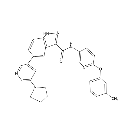 Cc1cccc(Oc2ccc(NC(=O)c3n[nH]c4ccc(-c5cncc(N6CCCC6)c5)cc34)cn2)c1